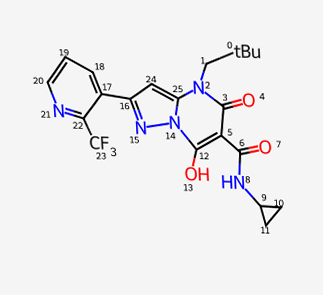 CC(C)(C)Cn1c(=O)c(C(=O)NC2CC2)c(O)n2nc(-c3cccnc3C(F)(F)F)cc12